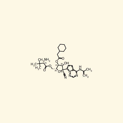 C=C(C)Nc1ncnn2c([C@]3(C#N)O[C@H](COC(=O)[C@@H](N)C(C)(C)C)[C@@H](OC(=O)CC4CCCCC4)[C@H]3O)ccc12